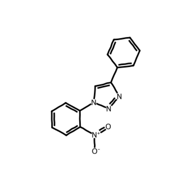 O=[N+]([O-])c1ccccc1-n1cc(-c2ccccc2)nn1